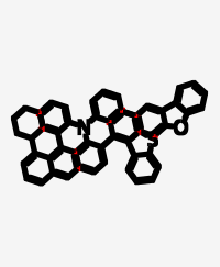 c1cc(-c2ccc3oc4ccccc4c3c2)cc(N(c2ccccc2-c2cccc3cccc(C4CCCCC4)c23)c2ccccc2-c2cccc3sc4ccccc4c23)c1